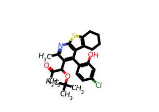 CC(=O)C(OC(C)(C)C)c1c(C)nc2sc3c(c2c1-c1ccc(Cl)cc1O)CCCC3